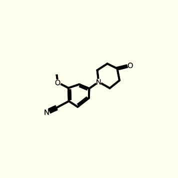 COc1cc(N2CCC(=O)CC2)ccc1C#N